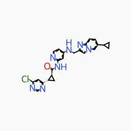 O=C(Nc1cc(NCc2cn3cc(C4CC4)ccc3n2)ccn1)[C@H]1C[C@@H]1c1cc(Cl)ncn1